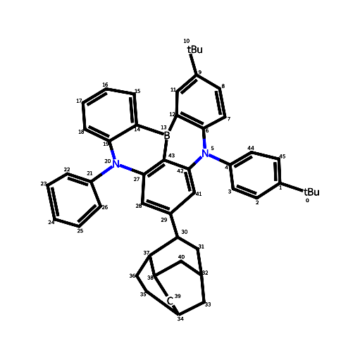 CC(C)(C)c1ccc(N2c3ccc(C(C)(C)C)cc3B3c4ccccc4N(c4ccccc4)c4cc(C5CC6CC7CCC5C(C7)C6)cc2c43)cc1